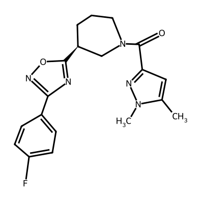 Cc1cc(C(=O)N2CCC[C@H](c3nc(-c4ccc(F)cc4)no3)C2)nn1C